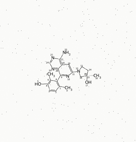 Cc1ccc(O)c(C)c1-c1nc(N2CC[C@@](C)(O)C2)cc2c(N)ncnc12